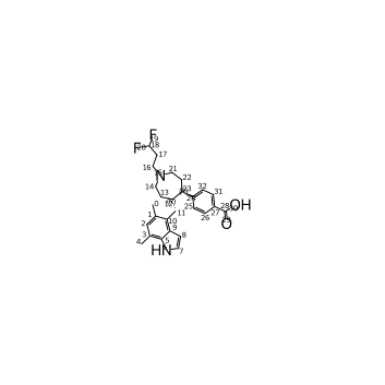 Cc1cc(C)c2[nH]ccc2c1C[C@@H]1CCN(CCC(F)F)CC[C@H]1c1ccc(C(=O)O)cc1